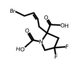 O=C(O)N1CC(F)(F)CC1(C/C=C\CBr)C(=O)O